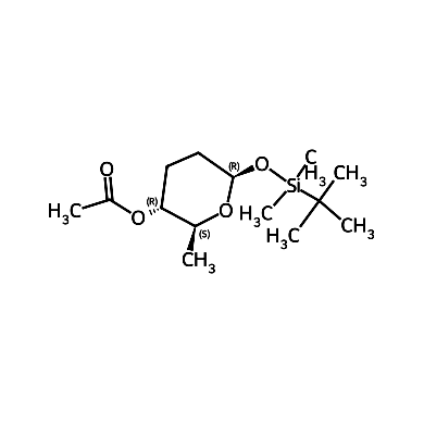 CC(=O)O[C@@H]1CC[C@@H](O[Si](C)(C)C(C)(C)C)O[C@H]1C